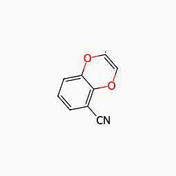 N#Cc1cccc2c1OC=[C]O2